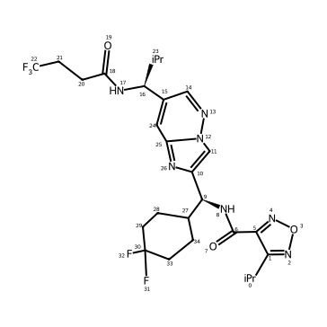 CC(C)c1nonc1C(=O)N[C@H](c1cn2ncc([C@@H](NC(=O)CCC(F)(F)F)C(C)C)cc2n1)C1CCC(F)(F)CC1